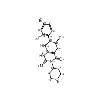 O=c1[nH]c2c(c(=O)n1C1CCOCC1)C[C@H](F)[C@H](c1ccc(Br)cc1F)N2